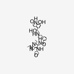 CCc1nc2c(cnn2CC)c(NC2CCOCC2)c1CNC(=O)c1cccc(CC(C)NC[C@H](O)c2ccc(O)c3[nH]c(=O)ccc23)c1